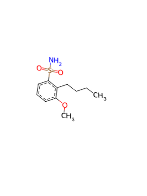 CCCCc1c(OC)cccc1S(N)(=O)=O